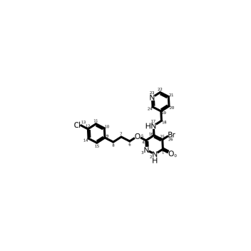 O=c1[nH]nc(OCCCc2ccc(Cl)cc2)c(NCc2cccnc2)c1Br